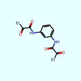 CCC(=O)C(=O)Nc1cccc(NC(=O)C(=O)CC)c1